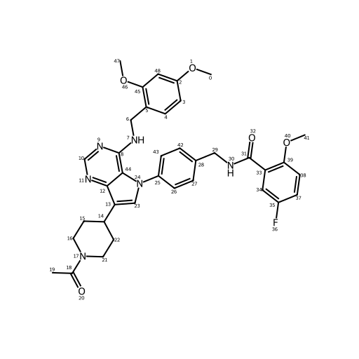 COc1ccc(CNc2ncnc3c(C4CCN(C(C)=O)CC4)cn(-c4ccc(CNC(=O)c5cc(F)ccc5OC)cc4)c23)c(OC)c1